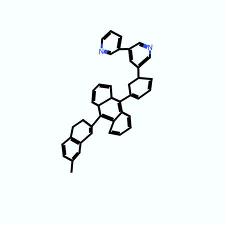 Cc1ccc2c(c1)C=C(C1=c3ccccc3=C(C3=CC=CC(c4cncc(-c5cccnc5)c4)C3)C3C=CC=CC13)CC2